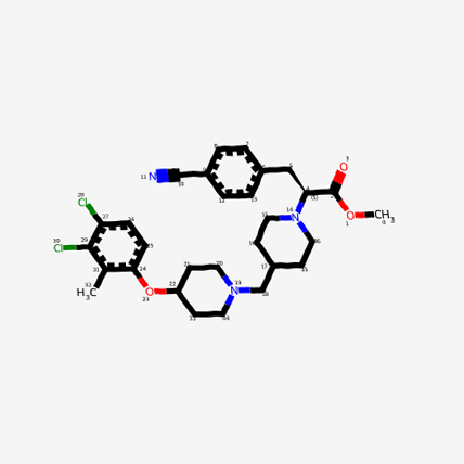 COC(=O)[C@H](Cc1ccc(C#N)cc1)N1CCC(CN2CCC(Oc3ccc(Cl)c(Cl)c3C)CC2)CC1